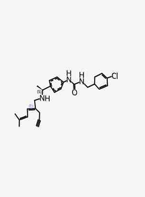 C#CC/C(=C\C=C(C)C)CN[C@@H](C)c1ccc(NC(=O)NCC2C=CC(Cl)=CC2)cc1